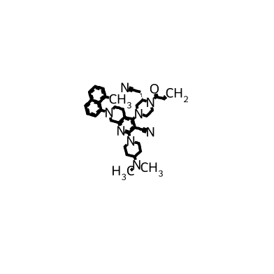 C=CC(=O)N1CCN(c2c(C#N)c(N3CCC(N(C)C)CC3)nc3c2CCN(c2cccc4cccc(C)c24)C3)C[C@@H]1CC#N